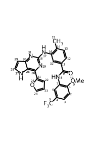 COc1ccc(C(F)(F)F)cc1NC(=O)c1ccc(C)c(Nc2nc(-c3ccco3)c3[nH]ccc3n2)c1